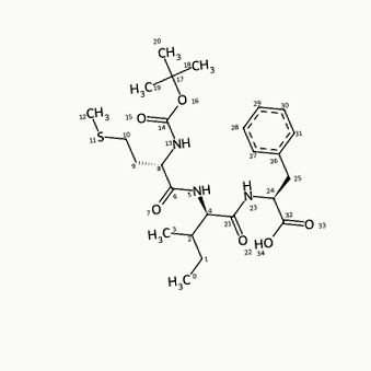 CCC(C)[C@@H](NC(=O)[C@H](CCSC)NC(=O)OC(C)(C)C)C(=O)N[C@@H](Cc1ccccc1)C(=O)O